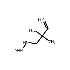 C=CC(C)(C)CNNC